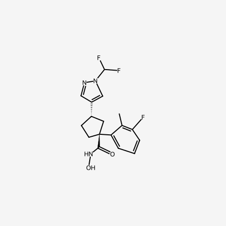 Cc1c(F)cccc1[C@]1(C(=O)NO)CC[C@H](c2cnn(C(F)F)c2)C1